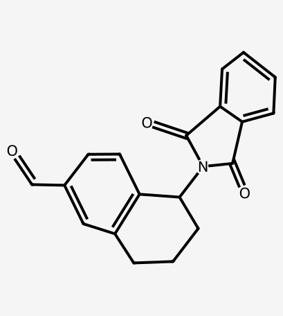 O=Cc1ccc2c(c1)CCCC2N1C(=O)c2ccccc2C1=O